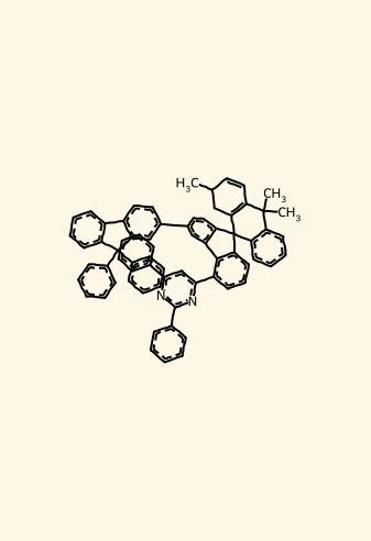 CC1C=CC2=C(C1)C1(c3ccc(-c4ccc5c(c4)C(c4ccccc4)(c4ccccc4)c4ccccc4-5)cc3-c3c(-c4cc(-c5ccccc5)nc(-c5ccccc5)n4)cccc31)c1ccccc1C2(C)C